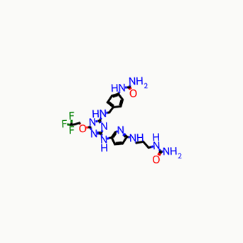 NC(=O)NCCCNc1ccc(Nc2nc(NCc3ccc(NC(N)=O)cc3)nc(OCC(F)(F)F)n2)cn1